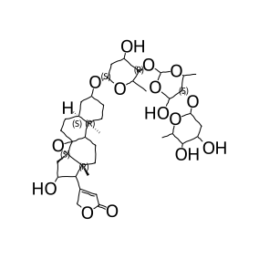 CC1OC(O[C@H]2C(C)OC(O[C@@H]3C(O)C[C@@H](OC4CC[C@@]5(C)C6CC[C@]7(C)C(C8=CC(=O)OC8)C(O)C[C@]78OC68CC[C@H]5C4)OC3C)OC2O)CC(O)C1O